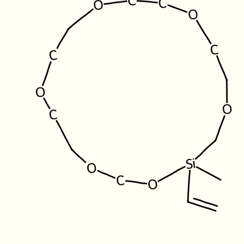 C=C[Si]1(C)COCCOCCOCCOCCOCO1